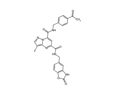 CC(=O)c1ccc(CNC(=O)c2cc(C(=O)NCc3ccc4oc(=O)[nH]c4c3)nc3c(F)cnn23)cc1